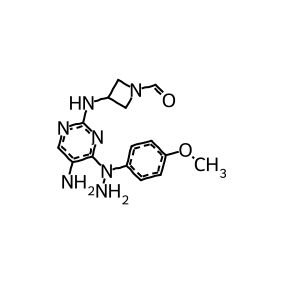 COc1ccc(N(N)c2nc(NC3CN(C=O)C3)ncc2N)cc1